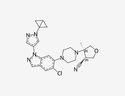 C[C@]1(N2CCN(c3cc4c(cnn4-c4cnn(C56CC5C6)c4)cc3Cl)CC2)COC[C@H]1C#N